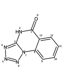 O=c1[nH]c2nnnn2c2ccccc12